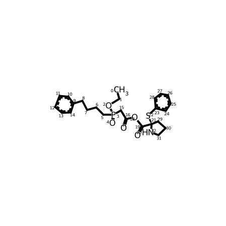 CCOP(=O)(CCCCc1ccccc1)CC(=O)OC(=O)[C@]1(Sc2ccccc2)CCCN1